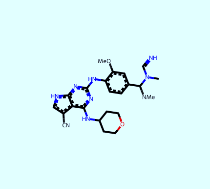 CNC(c1ccc(Nc2nc(NC3CCOCC3)c3c(C#N)c[nH]c3n2)c(OC)c1)N(C)C=N